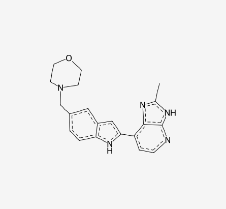 Cc1nc2c(-c3cc4cc(CN5CCOCC5)ccc4[nH]3)ccnc2[nH]1